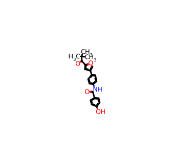 CC(C)(C)C(=O)c1cc(-c2ccc(NC(=O)c3ccc(O)cc3)cc2)co1